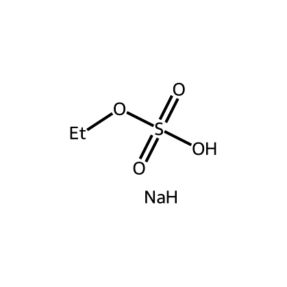 CCOS(=O)(=O)O.[NaH]